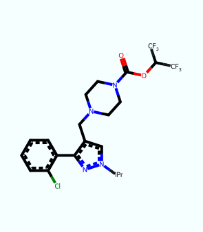 CC(C)n1cc(CN2CCN(C(=O)OC(C(F)(F)F)C(F)(F)F)CC2)c(-c2ccccc2Cl)n1